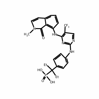 CCC(CC)(c1ccc(Nc2ncc(C(F)(F)F)c(Nc3cccc4ccn(C)c(=O)c34)n2)cc1)P(=O)(O)O